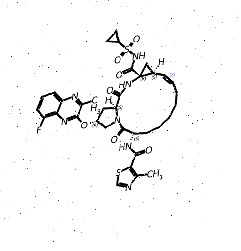 Cc1nc2cccc(F)c2nc1O[C@@H]1C[C@H]2C(=O)N[C@]3(C(=O)NS(=O)(=O)C4CC4)C[C@H]3/C=C\CCCCC[C@H](NC(=O)c3scnc3C)C(=O)N2C1